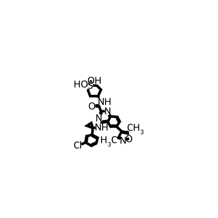 Cc1noc(C)c1-c1ccc2nc(C(=O)NC3CCS(O)(O)CC3)nc(NC3(c4cccc(Cl)c4)CC3)c2c1